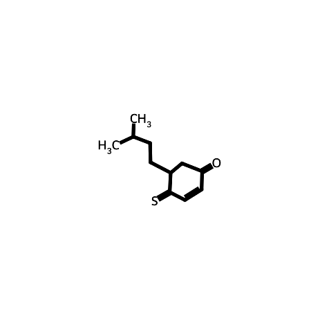 CC(C)CCC1CC(=O)C=CC1=S